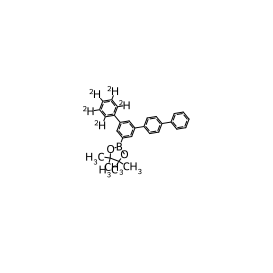 [2H]c1c([2H])c([2H])c(-c2cc(B3OC(C)(C)C(C)(C)O3)cc(-c3ccc(-c4ccccc4)cc3)c2)c([2H])c1[2H]